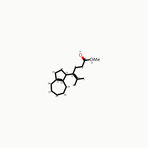 COC(=O)CCC(=C(C)C)C1CCC2=C1CCCCC2